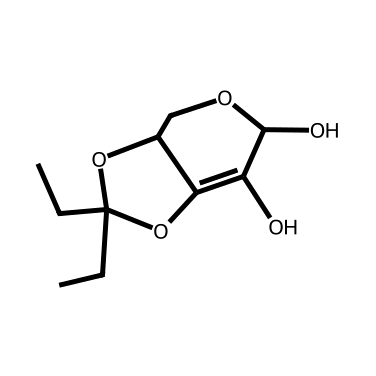 CCC1(CC)OC2=C(O)C(O)OCC2O1